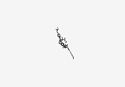 CCCCCCCCCCc1cnc(-c2ccc(OCC[SiH2]COCCCC(C)CC)cc2)nc1